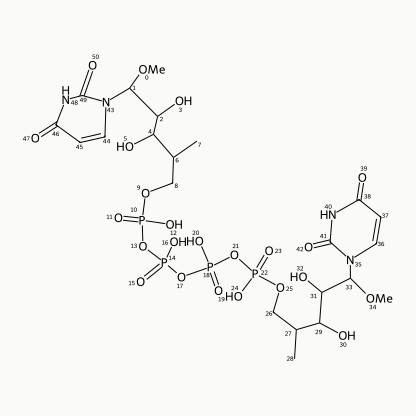 COC(C(O)C(O)C(C)COP(=O)(O)OP(=O)(O)OP(=O)(O)OP(=O)(O)OCC(C)C(O)C(O)C(OC)n1ccc(=O)[nH]c1=O)n1ccc(=O)[nH]c1=O